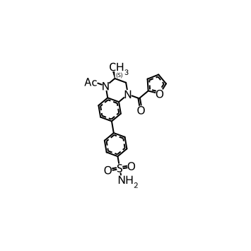 CC(=O)N1c2ccc(-c3ccc(S(N)(=O)=O)cc3)cc2N(C(=O)c2ccco2)C[C@@H]1C